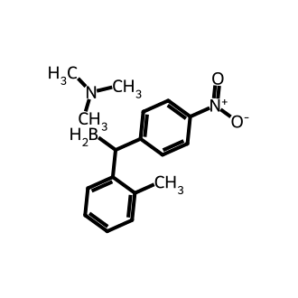 BC(c1ccc([N+](=O)[O-])cc1)c1ccccc1C.CN(C)C